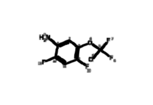 Nc1cc(OC(F)(F)Cl)c(F)cc1F